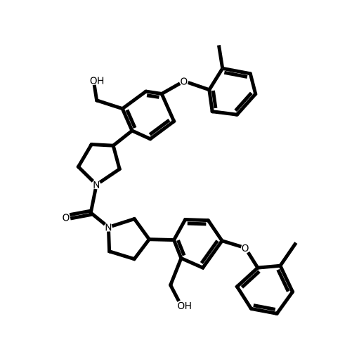 Cc1ccccc1Oc1ccc(C2CCN(C(=O)N3CCC(c4ccc(Oc5ccccc5C)cc4CO)C3)C2)c(CO)c1